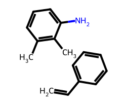 C=Cc1ccccc1.Cc1cccc(N)c1C